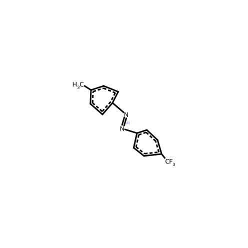 Cc1ccc(/N=N/c2ccc(C(F)(F)F)cc2)cc1